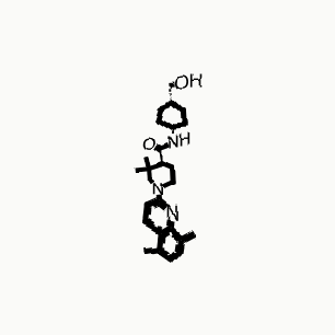 Cc1ccc(C)c2nc(N3CC[C@H](C(=O)N[C@H]4CC[C@@H](CO)CC4)C(C)(C)C3)ccc12